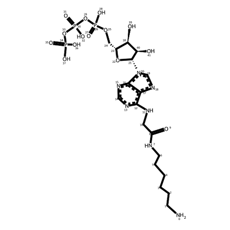 NCCCCCCNC(=O)CNc1ncnc2c1ncn2[C@@H]1O[C@H](COP(=O)(O)OP(=O)(O)OP(=O)(O)O)[C@@H](O)[C@H]1O